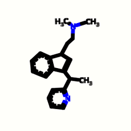 CC(C1=CC(CCN(C)C)c2ccccc21)c1ccccn1